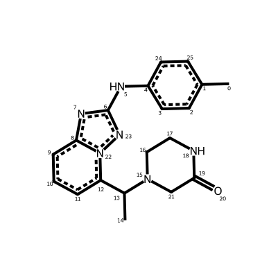 Cc1ccc(Nc2nc3cccc(C(C)N4CCNC(=O)C4)n3n2)cc1